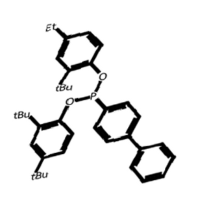 CCc1ccc(OP(Oc2ccc(C(C)(C)C)cc2C(C)(C)C)c2ccc(-c3ccccc3)cc2)c(C(C)(C)C)c1